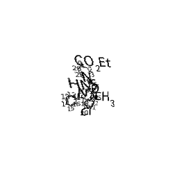 CCOC(=O)C1CCN(C(=S)NC2N=C(c3ccccc3)c3cc(Cl)ccc3N(C)C2=O)CC1